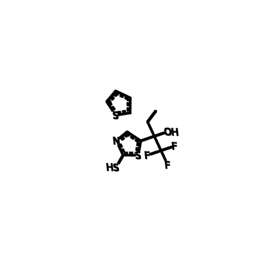 CCC(O)(c1cnc(S)s1)C(F)(F)F.c1ccsc1